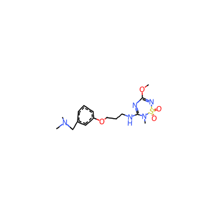 COC1=NS(=O)(=O)N(C)C(NCCCOc2cccc(CN(C)C)c2)=N1